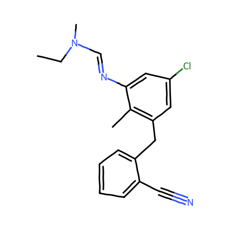 CCN(C)C=Nc1cc(Cl)cc(Cc2ccccc2C#N)c1C